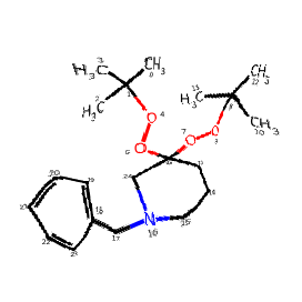 CC(C)(C)OOC1(OOC(C)(C)C)CCCN(Cc2ccccc2)C1